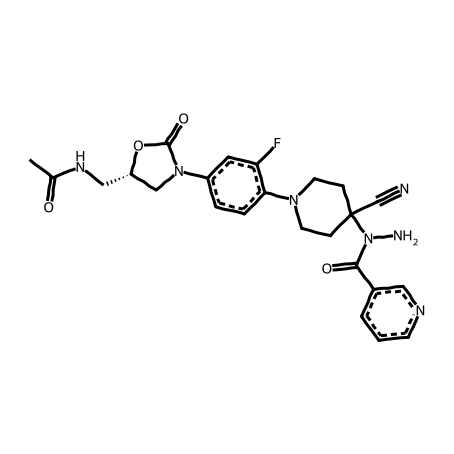 CC(=O)NC[C@H]1CN(c2ccc(N3CCC(C#N)(N(N)C(=O)c4cccnc4)CC3)c(F)c2)C(=O)O1